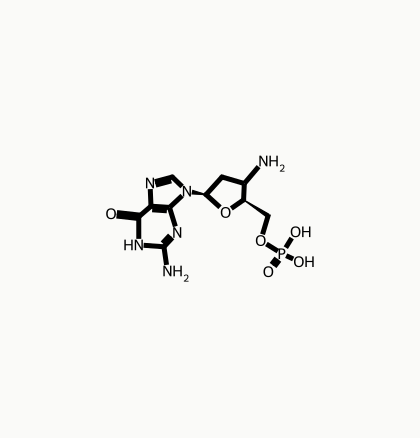 Nc1nc2c(ncn2[C@H]2CC(N)[C@@H](COP(=O)(O)O)O2)c(=O)[nH]1